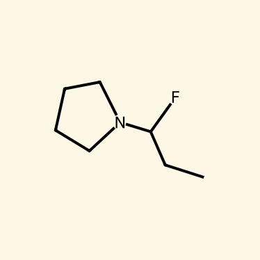 CCC(F)N1CCCC1